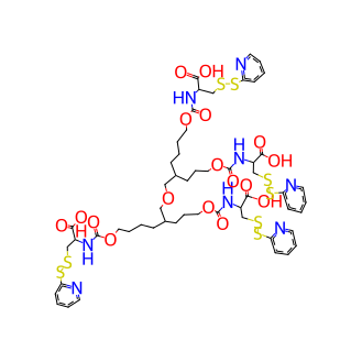 O=C(NC(CSSc1ccccn1)C(=O)O)OCCCCC(CCCOC(=O)NC(CSSc1ccccn1)C(=O)O)COCC(CCCCOC(=O)NC(CSSc1ccccn1)C(=O)O)CCCOC(=O)NC(CSSc1ccccn1)C(=O)O